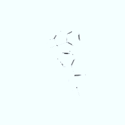 CC(C)(C)OC(=O)c1cnc(C(C)(C(=O)O)c2ccccc2)nc1